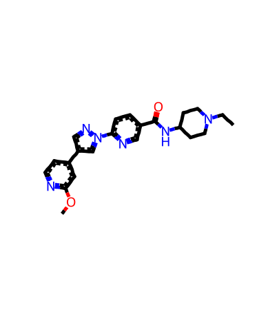 CCN1CCC(NC(=O)c2ccc(-n3cc(-c4ccnc(OC)c4)cn3)nc2)CC1